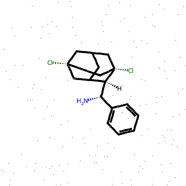 N[C@@H](c1ccccc1)[C@H]1C2CC3C[C@](Cl)(C2)C[C@@]1(Cl)C3